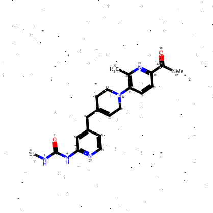 CCNC(=O)Nc1cc(CC2=CCN(c3ccc(C(=O)NC)nc3C)CC2)ccn1